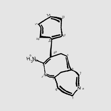 Nc1nc2ccncc2cc1-c1ccccc1